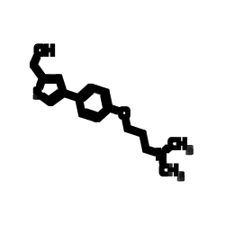 CN(C)CCCOc1ccc(-c2csc(CO)c2)cc1